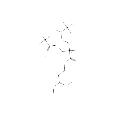 CCOC(CCOC(=O)C(C)(COC(=O)C(C)(C)Br)COC(O)C(C)(C)Br)OCC